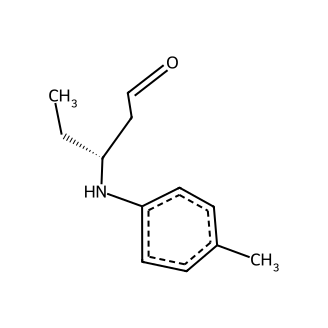 CC[C@H](CC=O)Nc1ccc(C)cc1